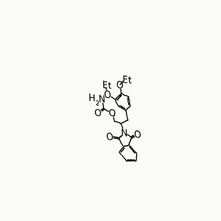 CCOc1ccc(CC(COC(N)=O)N2C(=O)c3ccccc3C2=O)cc1OCC